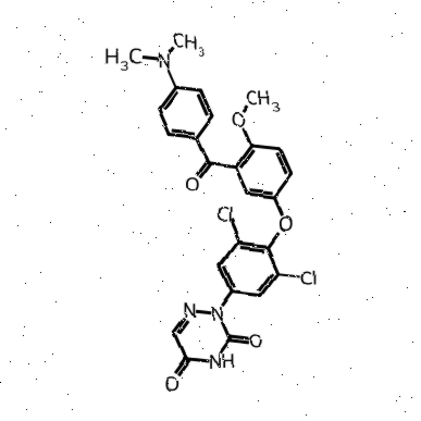 COc1ccc(Oc2c(Cl)cc(-n3ncc(=O)[nH]c3=O)cc2Cl)cc1C(=O)c1ccc(N(C)C)cc1